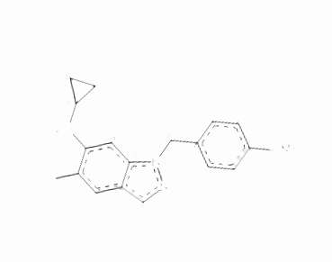 COc1ccc(Cn2ncc3cc(Br)c(OC4CC4)cc32)cc1